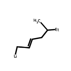 [Li][CH2]C=CCC(C)CC